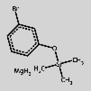 C[Si](C)(C)Oc1cccc(Br)c1.[MgH2]